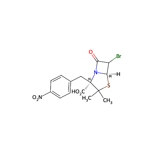 CC1(C)S[C@@H]2C(Br)C(=O)N2[C@@]1(Cc1ccc([N+](=O)[O-])cc1)C(=O)O